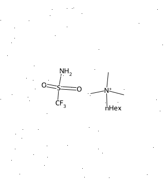 CCCCCC[N+](C)(C)C.NS(=O)(=O)C(F)(F)F